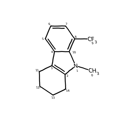 Cn1c2c(c3cccc(C(F)(F)F)c31)C[CH]CC2